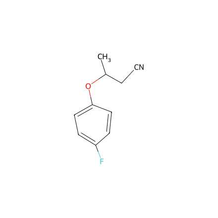 CC(CC#N)Oc1ccc(F)cc1